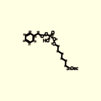 CCCCCCCCCCCCCCCCOOP(=O)(O)OOCc1ccccc1